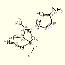 [N-]=[N+]=N[C@]1(CI)O[C@@H](N/C=C\C(N)=O)[C@H](O)[C@@H]1F